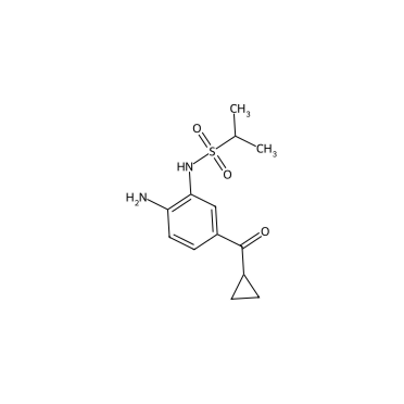 CC(C)S(=O)(=O)Nc1cc(C(=O)C2CC2)ccc1N